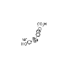 N#Cc1cc(-c2nc(-c3ccc4c(c3)cc3n4CC[C@H]3CC(=O)O)no2)ccc1O